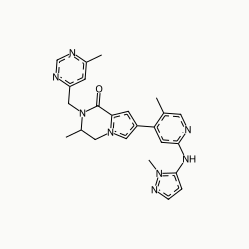 Cc1cc(CN2C(=O)c3cc(-c4cc(Nc5ccnn5C)ncc4C)cn3CC2C)ncn1